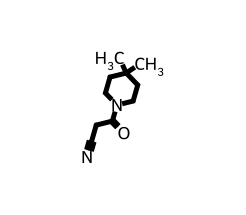 CC1(C)CCN(C(=O)CC#N)CC1